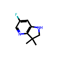 CC1(C)CNc2cc(F)cnc21